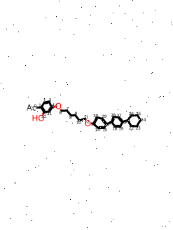 CC(=O)c1ccc(OCCCCCCOc2ccc(-c3ccc(C4CCCCC4)cc3)cc2)cc1O